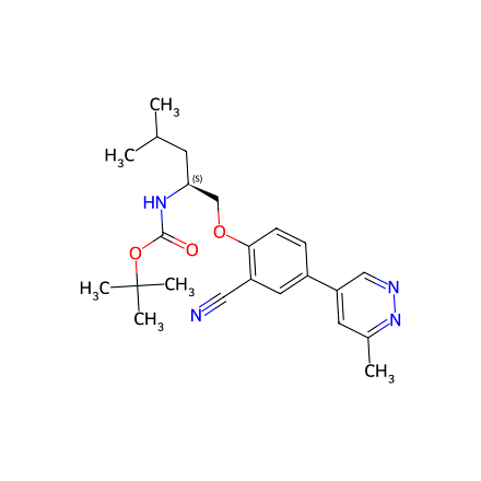 Cc1cc(-c2ccc(OC[C@H](CC(C)C)NC(=O)OC(C)(C)C)c(C#N)c2)cnn1